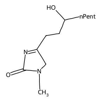 CCCCCC(O)CCC1=NC(=O)N(C)C1